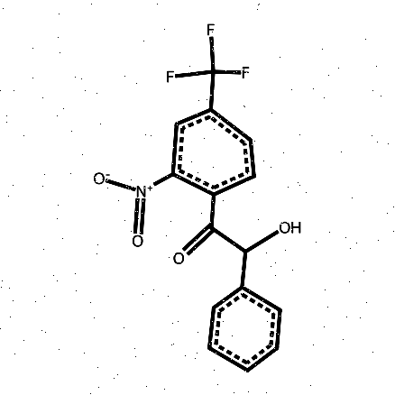 O=C(c1ccc(C(F)(F)F)cc1[N+](=O)[O-])C(O)c1ccccc1